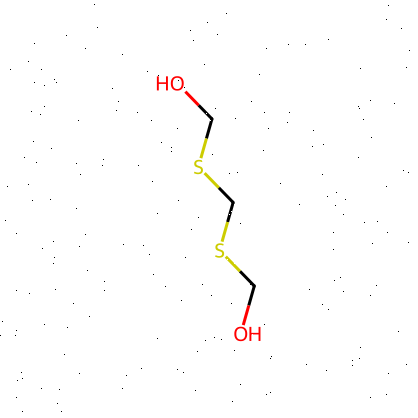 OCSCSCO